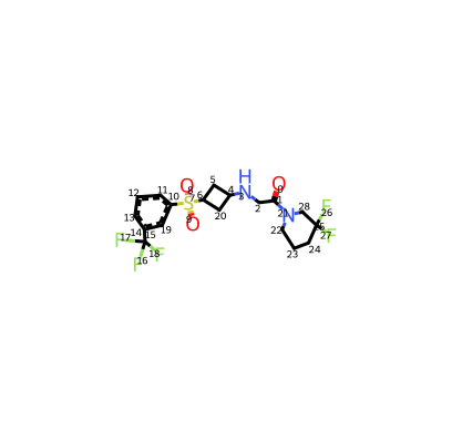 O=C(CNC1CC(S(=O)(=O)c2cccc(C(F)(F)F)c2)C1)N1CCCC(F)(F)C1